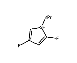 [CH2]CC[SH]1C=C(F)C=C1F